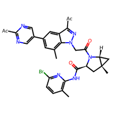 CC(=O)c1ncc(-c2cc(C)c3c(c2)c(C(C)=O)nn3CC(=O)N2[C@H](C(=O)Nc3nc(Br)ccc3C)C[C@@]3(C)C[C@@H]23)cn1